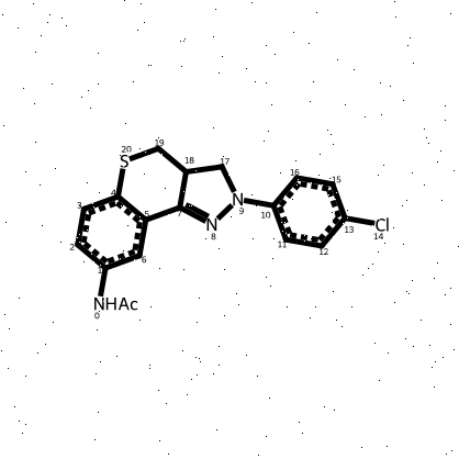 CC(=O)Nc1ccc2c(c1)C1=NN(c3ccc(Cl)cc3)CC1CS2